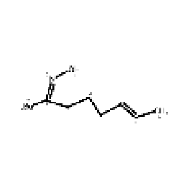 CC=CCCCC(=NO)C(C)(C)C